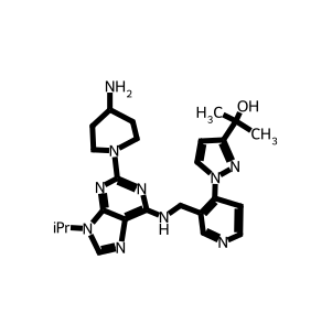 CC(C)n1cnc2c(NCc3cnccc3-n3ccc(C(C)(C)O)n3)nc(N3CCC(N)CC3)nc21